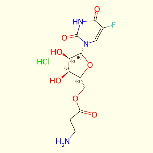 Cl.NCCC(=O)OC[C@H]1O[C@@H](n2cc(F)c(=O)[nH]c2=O)[C@H](O)[C@@H]1O